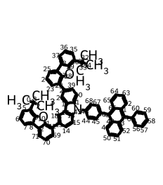 CC(C)(C)c1cccc2c1oc1c(-c3ccc4c(c3)c3cc(-c5cccc6c5oc5c(C(C)(C)C)cccc56)ccc3n4-c3ccc(-c4c5ccccc5c(-c5ccccc5)c5ccccc45)cc3)cccc12